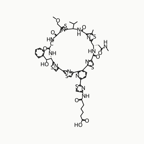 CNC(=O)C[C@@H]1NC(=O)c2csc(n2)-c2ccc(-c3nc(NC(=O)CCCCC(=O)O)cs3)nc2-c2csc(n2)-c2csc(n2)[C@H]([C@@H](O)c2ccccc2)NC(=O)CNC(=O)c2nc(sc2COC)C(C(C)C)NC(=O)c2nc1sc2C